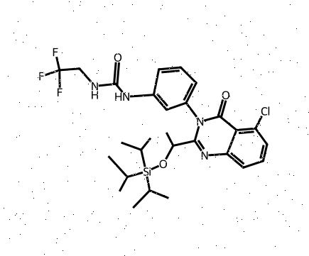 CC(O[Si](C(C)C)(C(C)C)C(C)C)c1nc2cccc(Cl)c2c(=O)n1-c1cccc(NC(=O)NCC(F)(F)F)c1